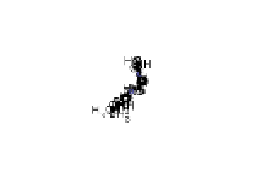 CC(C)(C)OC(=O)Nc1ccc(/C=N/NC(=O)c2cccc(/C=C/C(=O)NO)c2)cc1